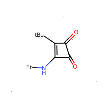 CCNc1c(C(C)(C)C)c(=O)c1=O